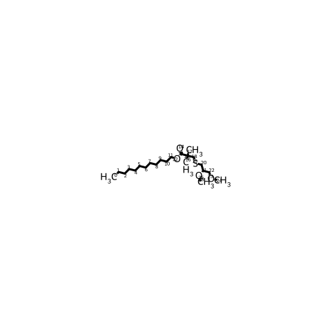 CCCCCCCCCCCCOC(=O)C(C)(C)CSCC(COC)OC